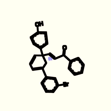 O=C(/C=C/C1(c2ccc(O)cc2)C=CC=C(c2cccc(Br)c2)C1)c1ccccc1